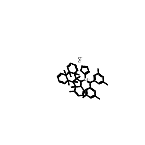 CC1=CC=CC2[CH]([Zr+2]([C]3=CC=CC3)=[C](c3cc(C)cc(C)c3)c3cc(C)cc(C)c3)C3(C)C4(C)C=CC=CC4(C)C4(C)C=CC=CC4(C)C3(C)C12C.[Cl-].[Cl-]